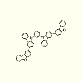 C1=CC2Oc3ccc(-c4ccc5c(c4)c4ccccc4n5-c4cccc(-n5c6ccccc6c6cc(-c7ccc8oc9ccccc9c8c7)ccc65)c4)cc3C2C=C1